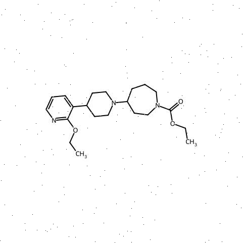 CCOC(=O)N1CCCC(N2CCC(c3cccnc3OCC)CC2)CC1